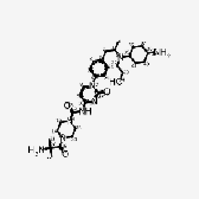 CC(Cc1ccc(-n2ccc(NC(=O)N3CCN(C(=O)C(C)(C)N)CC3)nc2=O)cc1)N(CCO)C1CCC(N)CC1